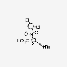 CC(C)(C)C#Cc1cc(N(C(=O)c2ccc(Cl)cc2Cl)C2CCC2)c(C(=O)O)s1